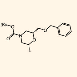 C[C@@H]1CN(C(=O)OC(C)(C)C)C[C@@H](COCc2ccccc2)O1